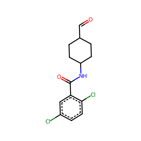 O=CC1CCC(NC(=O)c2cc(Cl)ccc2Cl)CC1